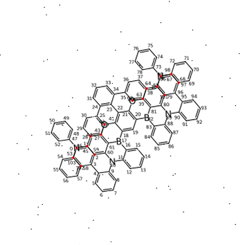 c1ccc(-c2ccccc2N2c3ccccc3B3c4cc5c(c(-c6c(-c7ccccc7)cccc6-c6ccccc6)c4Oc4cc(N(c6ccccc6)c6ccccc6)cc2c43)Oc2cc(N(c3ccccc3)c3ccccc3)cc3c2B5c2ccccc2N3c2ccccc2-c2ccccc2)cc1